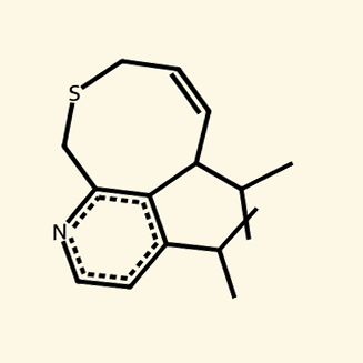 CC(C)c1ccnc2c1C(C(C)C)/C=C\CSC2